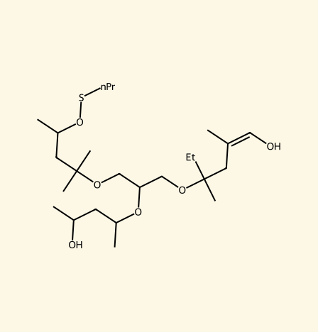 CCCSOC(C)CC(C)(C)OCC(COC(C)(CC)C/C(C)=C\O)OC(C)CC(C)O